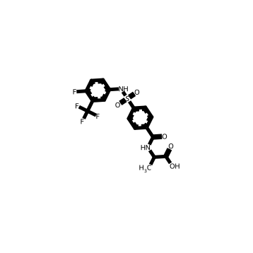 CC(NC(=O)c1ccc(S(=O)(=O)Nc2ccc(F)c(C(F)(F)F)c2)cc1)C(=O)O